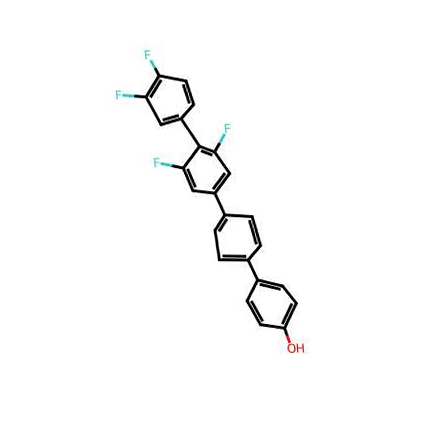 Oc1ccc(-c2ccc(-c3cc(F)c(-c4ccc(F)c(F)c4)c(F)c3)cc2)cc1